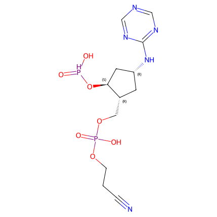 N#CCCOP(=O)(O)OC[C@H]1C[C@@H](Nc2ncncn2)C[C@@H]1O[PH](=O)O